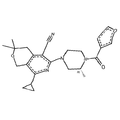 C[C@@H]1CN(c2nc(C3CC3)c3c(c2C#N)CC(C)(C)OC3)CCN1C(=O)c1ccoc1